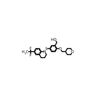 CC(F)(F)c1ccc2c(c1)CCCN2Sc1ccc(OCC2CCOCC2)c(CO)c1